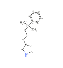 CC(C)(CCCC1CCNC1)c1ccccc1